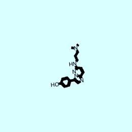 CN(C)CCCNc1ccc2ncc(-c3ccc(O)cc3)n2n1